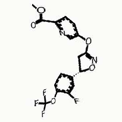 COC(=O)c1ccc(OC2=NO[C@H](c3ccc(OC(F)(F)F)c(F)c3)C2)cn1